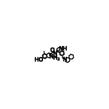 Cc1cc(O)cc(C)c1C[C@H](N)C(=O)N[C@@H]1CCNc2ccc(CN3CCCC4(CCCCC4)C3)cc21